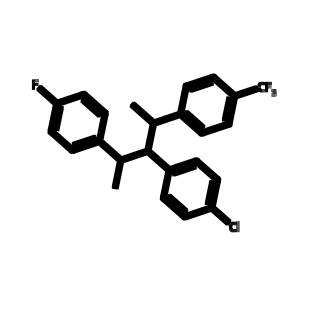 CC(c1ccc(F)cc1)C(c1ccc(Cl)cc1)C(C)c1ccc(C(F)(F)F)cc1